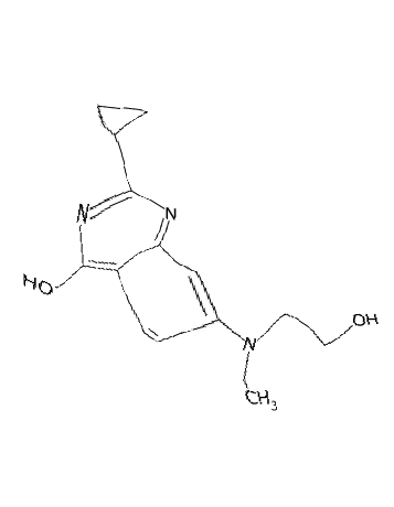 CN(CCO)c1ccc2c(O)nc(C3CC3)nc2c1